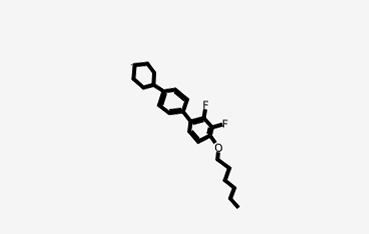 CCCCCCOc1ccc(-c2ccc(C3CC[CH]CC3)cc2)c(F)c1F